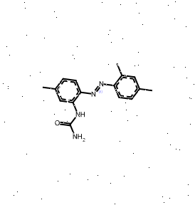 Cc1ccc(/N=N/c2ccc(C)cc2NC(N)=O)c(C)c1